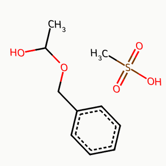 CC(O)OCc1ccccc1.CS(=O)(=O)O